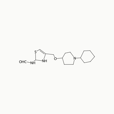 O=CNC1NC(COC2CCN(C3CCCCC3)CC2)=CS1